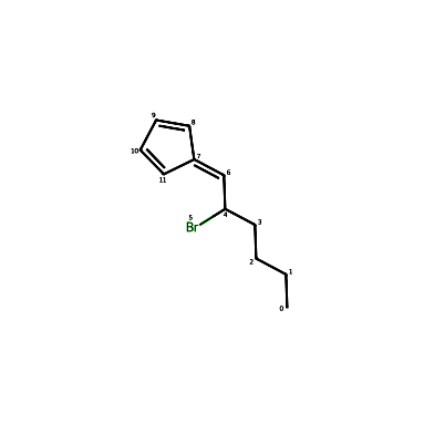 CCCCC(Br)C=C1C=CC=C1